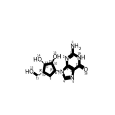 Nc1nc2c(ncn2[C@@H]2C[C@H](CO)[C@H](O)[C@H]2O)c(=O)[nH]1